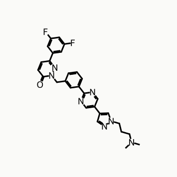 CN(C)CCCn1cc(-c2cnc(-c3cccc(Cn4nc(-c5cc(F)cc(F)c5)ccc4=O)c3)nc2)cn1